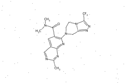 Cc1ncc2cc(C(=O)N(C)C)c(N3CCn4c(nnc4C(F)(F)F)C3)nc2n1